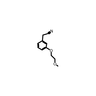 COCCOc1cccc(CC#N)c1